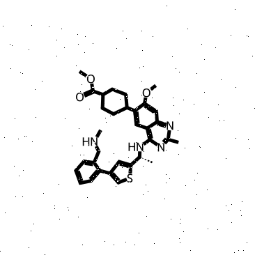 CNCc1ccccc1-c1csc([C@@H](C)Nc2nc(C)nc3cc(OC)c(C4CCC(C(=O)OC)CC4)cc23)c1